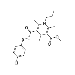 CCCN1C(C)=C(C(=O)OC)C(C)C(C(=O)OSc2ccc(Cl)cc2)=C1C